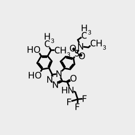 CCN(CC)S(=O)(=O)c1ccc(-n2c(C(=O)NCC(F)(F)F)nnc2-c2cc(C(C)C)c(O)cc2O)cc1